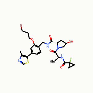 Cc1ncsc1-c1ccc(CNC(=O)[C@@H]2C[C@@H](O)CN2C(=O)[C@@H](NC(=O)C2(F)CC2)C(C)(C)C)c(OCCCBr)c1